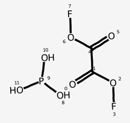 O=C(OF)C(=O)OF.OP(O)O